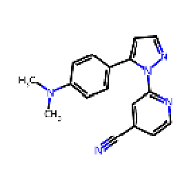 CN(C)c1ccc(-c2ccnn2-c2cc(C#N)ccn2)cc1